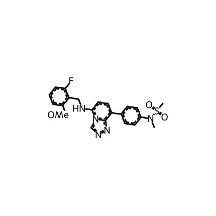 COc1cccc(F)c1CNc1ccc(-c2ccc(N(C)S(C)(=O)=O)cc2)c2nncn12